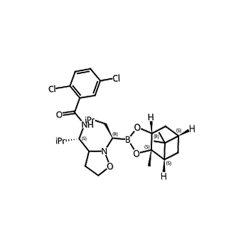 CC(C)C[C@@H](B1O[C@@H]2C[C@@H]3C[C@@H](C3(C)C)[C@]2(C)O1)N1OCCC1[C@@H](NC(=O)c1cc(Cl)ccc1Cl)C(C)C